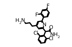 NCCCc1cc(-c2ccc(F)cc2F)nc(C(C(N)=O)c2c(Cl)cccc2Cl)c1